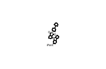 CCCC(C)c1ccc2c3ccccc3n(-c3cccc4c3C(=O)N(c3ccc(-c5ccccc5)cc3)C4=O)c2c1